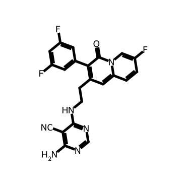 N#Cc1c(N)ncnc1NCCc1cc2ccc(F)cn2c(=O)c1-c1cc(F)cc(F)c1